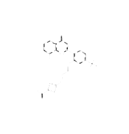 O=C(O)C1CC(OCCOc2cc(C(F)(F)F)ccc2-c2cc(=O)c3cccc(Cl)c3o2)C1